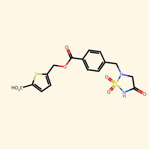 O=C1CN(Cc2ccc(C(=O)OCc3ccc(C(=O)O)s3)cc2)S(=O)(=O)N1